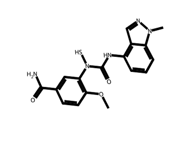 COc1ccc(C(N)=O)cc1N(S)C(=O)Nc1cccc2c1cnn2C